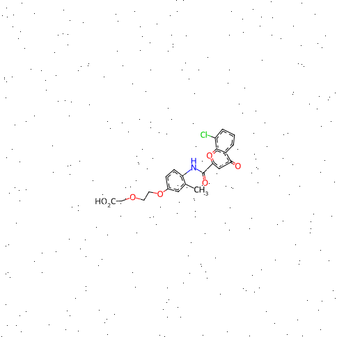 Cc1cc(OCCOCC(=O)O)ccc1NC(=O)c1cc(=O)c2cccc(Cl)c2o1